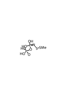 CSSN=P(O)(O)OP(=O)(O)O